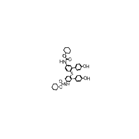 O=C(Nc1ccc(Sc2ccc(NC(=O)OC3CCCCC3)cc2-c2ccc(O)cc2)c(-c2ccc(O)cc2)c1)OC1CCCCC1